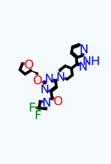 O=C(c1cc(N2CCC(c3n[nH]c4ncccc34)CC2)nc(OC[C@H]2CCCO2)n1)N1CC(F)(F)C1